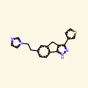 c1cn(CCc2ccc3c(c2)Cc2c(-c4ccsc4)n[nH]c2-3)cn1